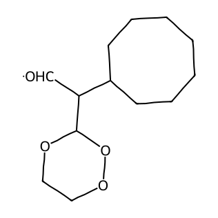 O=[C]C(C1CCCCCCC1)C1OCCOO1